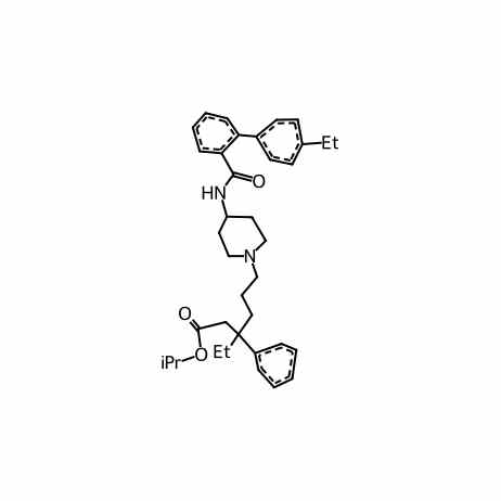 CCc1ccc(-c2ccccc2C(=O)NC2CCN(CCCC(CC)(CC(=O)OC(C)C)c3ccccc3)CC2)cc1